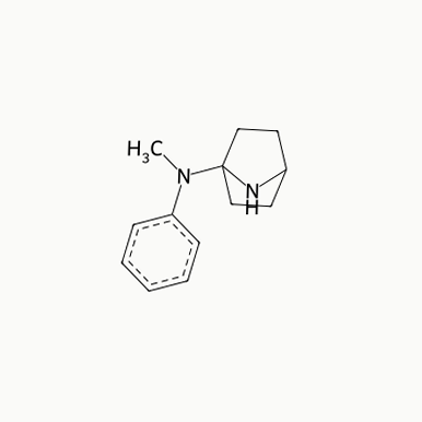 CN(c1ccccc1)C12CCC(CC1)N2